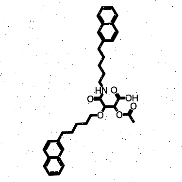 CC(=O)OC(C(=O)O)C(OCCCCCc1ccc2ccccc2c1)C(=O)NCCCCCc1ccc2ccccc2c1